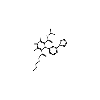 COCCOC(=O)C1=C(C)NC(C)=C(C(=O)OC(C)C)C1c1cccc(-n2cccc2)c1